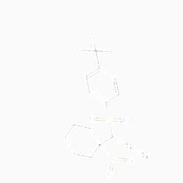 [N-]=[N+]=C(C1([SH](=O)=O)CCCCC1)S(=O)(=O)c1ccc(C(F)(F)F)cc1